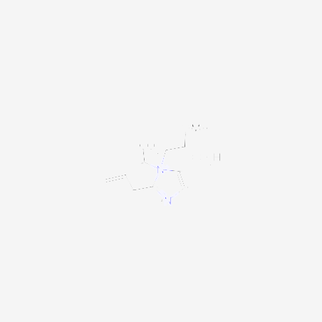 C=CCC1=NC=C[N+]1(CC(=O)O)CC(OC)C(=O)O